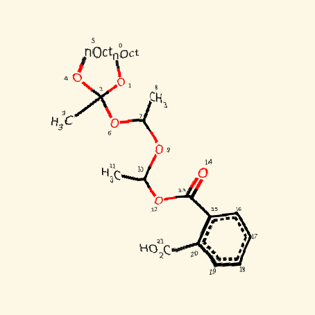 CCCCCCCCOC(C)(OCCCCCCCC)OC(C)OC(C)OC(=O)c1ccccc1C(=O)O